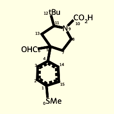 CSc1ccc(C2(C=O)CCN(C(=O)O)C(C(C)(C)C)C2)cc1